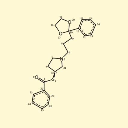 O=C(S[C@H]1CCN(CCCC2(c3ccccc3)OCCO2)C1)c1ccccc1